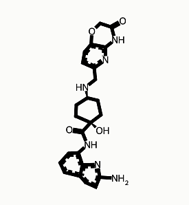 Nc1ccc2cccc(NC(=O)[C@]3(O)CC[C@@H](NCc4ccc5c(n4)NC(=O)CO5)CC3)c2n1